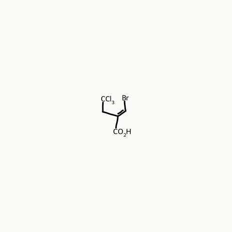 O=C(O)C(=CBr)CC(Cl)(Cl)Cl